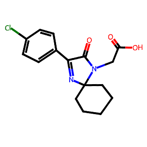 O=C(O)CN1C(=O)C(c2ccc(Cl)cc2)=NC12CCCCC2